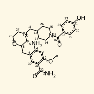 COc1cc(N)c(CC2CN(CC3CCN(C(=O)c4ccc(O)cc4)CC3)CCO2)cc1C(N)=O